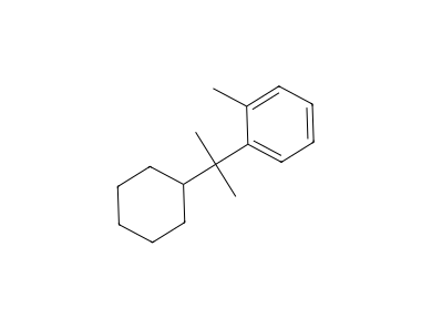 Cc1ccccc1C(C)(C)C1CCCCC1